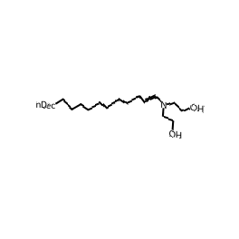 CCCCCCCCCCCCCCCCCCCC=CN(CCO)CCO